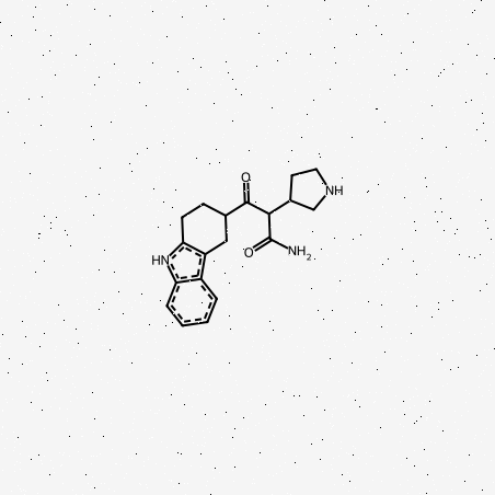 NC(=O)C(C(=O)C1CCc2[nH]c3ccccc3c2C1)C1CCNC1